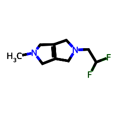 CN1CC2=C(C1)CN(CC(F)F)C2